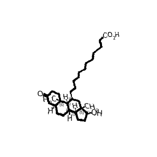 C[C@]12CCC(=O)C[C@@H]1CC[C@@H]1[C@@H]2[C@@H](CCCCCCCCCCCC(=O)O)C[C@]2(C)[C@@H](O)CC[C@@H]12